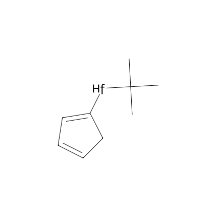 C[C](C)(C)[Hf][C]1=CC=CC1